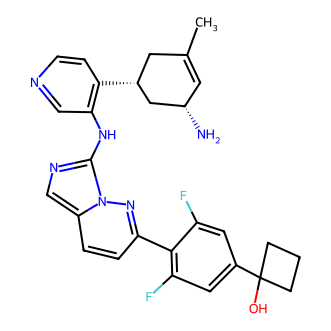 CC1=C[C@H](N)C[C@H](c2ccncc2Nc2ncc3ccc(-c4c(F)cc(C5(O)CCC5)cc4F)nn23)C1